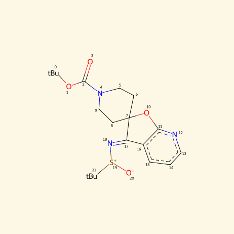 CC(C)(C)OC(=O)N1CCC2(CC1)Oc1ncccc1C2=N[S+]([O-])C(C)(C)C